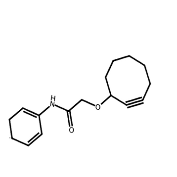 O=C(COC1C#CCCCCC1)NC1=CC[CH]C=C1